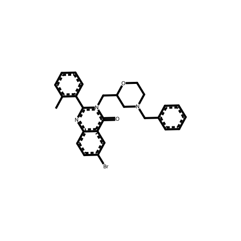 Cc1ccccc1-c1nc2ccc(Br)cc2c(=O)n1CC1CN(Cc2ccccc2)CCO1